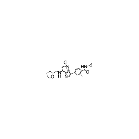 Cc1cc(-c2cnc3c(NCC4CCCCO4)cc(Cl)nn23)ccc1C(=O)NC1CC1